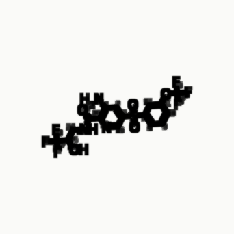 Nc1cc(S(=O)(=O)c2cccc(OC(F)(F)F)c2)cnc1C(=O)NCC(O)C(F)(F)F